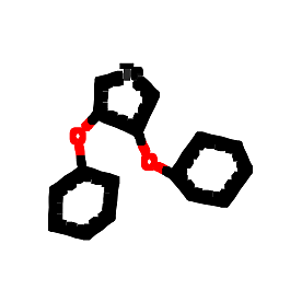 c1ccc(Oc2c[te]cc2Oc2ccccc2)cc1